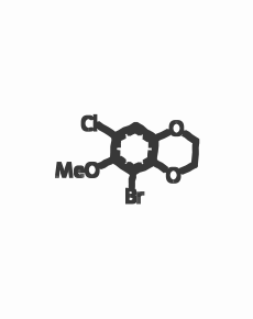 COc1c(Cl)cc2c(c1Br)OCCO2